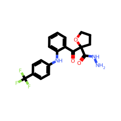 NNC(=O)C1(C(=O)c2ccccc2Nc2ccc(C(F)(F)F)cc2)CCCO1